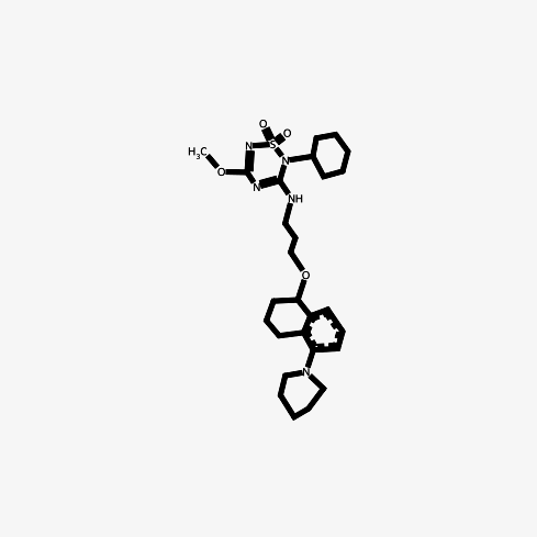 COC1=NS(=O)(=O)N(C2CCCCC2)C(NCCCOC2CCCc3c2cccc3N2CCCCC2)=N1